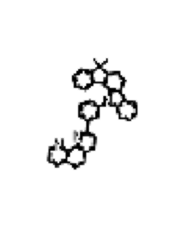 CC1(C)c2ccccc2-c2c1ccc1c3ccccc3n(-c3cccc(-c4ccc5ccc6cccnc6c5n4)c3)c21